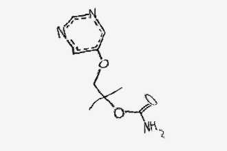 CC(C)(COc1cncnc1)OC(N)=O